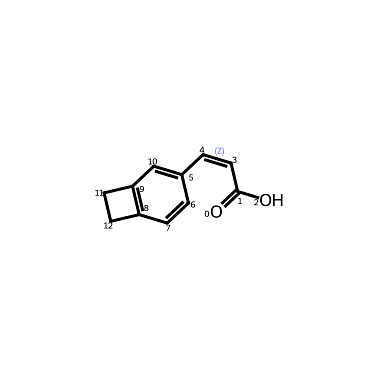 O=C(O)/C=C\c1ccc2c(c1)CC2